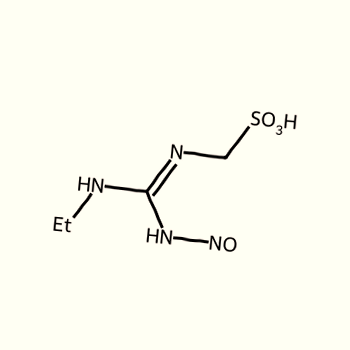 CCNC(=NCS(=O)(=O)O)NN=O